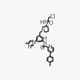 Cc1ccc(-c2ccnc(C(=O)Nc3cc(CN4CCC[C@H](NC(=O)CCl)C4)cc(-n4cnc(C)c4)c3)c2)cc1